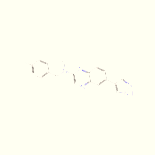 CN(Cc1ccc(F)cc1)c1cnc2cc(-c3cn[nH]c3)ccc2n1